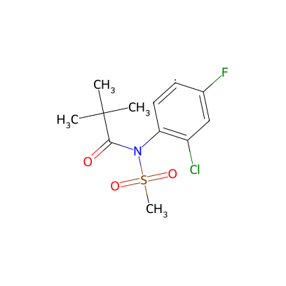 CC(C)(C)C(=O)N(c1c[c]c(F)cc1Cl)S(C)(=O)=O